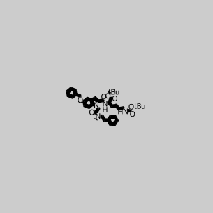 CN(CCc1ccccc1)C(=O)Cn1c(C(=O)NC(CCCCNC(=O)OC(C)(C)C)C(=O)OC(C)(C)C)cc2cc(OCc3ccccc3)ccc21